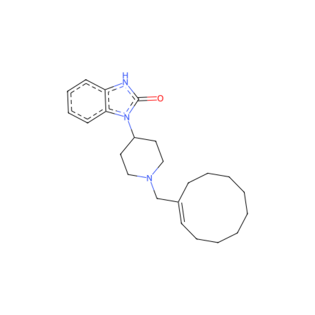 O=c1[nH]c2ccccc2n1C1CCN(C/C2=C/CCCCCCCC2)CC1